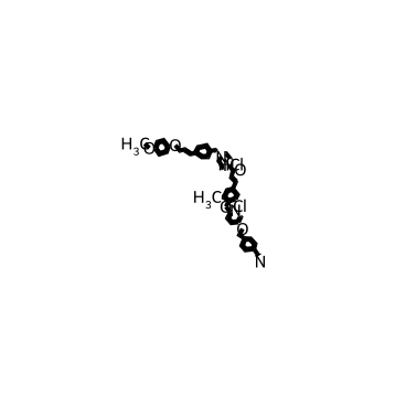 COc1ccc(OCC=Cc2ccc(CN3CCN(C(=O)C=Cc4cc(C)c(Oc5ccc(OCc6ccc(C#N)cc6)cn5)c(Cl)c4)CC3)cc2)cc1.Cl